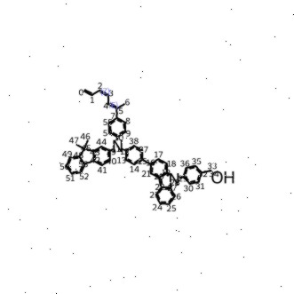 C=C/C=C\C=C(/C)c1ccc(N(c2ccc(-c3ccc4c(c3)c3ccccc3n4-c3ccc(CO)cc3)cc2)c2ccc3c(c2)C(C)(C)c2ccccc2-3)cc1